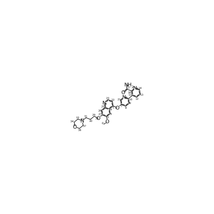 COc1cc2c(Oc3ccc(-c4cccnc4C(N)=O)nc3)ccnc2cc1OCCCN1CCOCC1